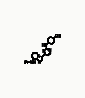 CC(C)Nc1cccn2c(-c3ccnc(NC4CCC(O)CC4)n3)cnc12